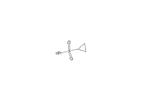 [CH2]CCS(=O)(=O)C1CC1